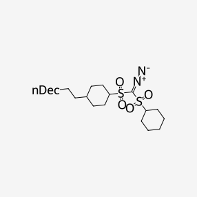 CCCCCCCCCCCCC1CCC(S(=O)(=O)C(=[N+]=[N-])S(=O)(=O)C2CCCCC2)CC1